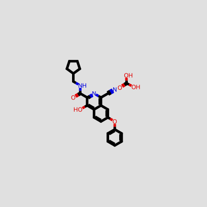 N#Cc1nc(C(=O)NCC2CCCC2)c(O)c2ccc(Oc3ccccc3)cc12.O=C(O)O